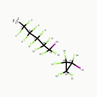 FC(F)(F)C(F)(F)C(F)(F)C(F)(F)C(F)(F)C(F)(F)I.FC1(F)C(F)(F)C1(F)I